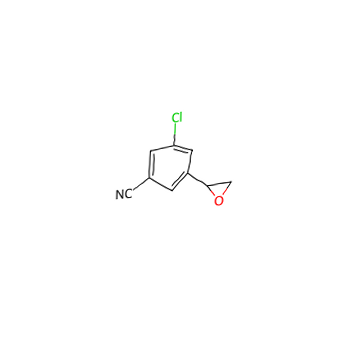 N#Cc1cc(Cl)cc(C2CO2)c1